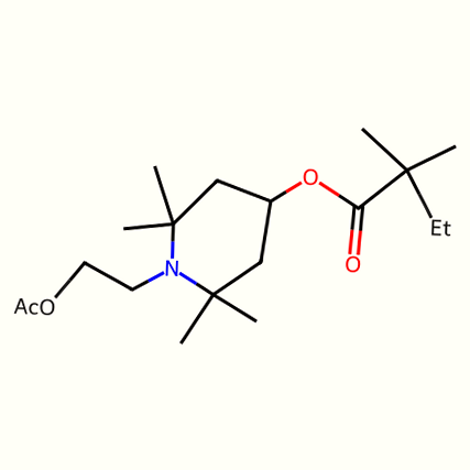 CCC(C)(C)C(=O)OC1CC(C)(C)N(CCOC(C)=O)C(C)(C)C1